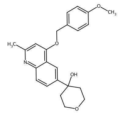 COc1ccc(COc2cc(C)nc3ccc(C4(O)CCOCC4)cc23)cc1